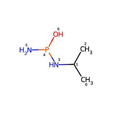 CC(C)NP(N)O